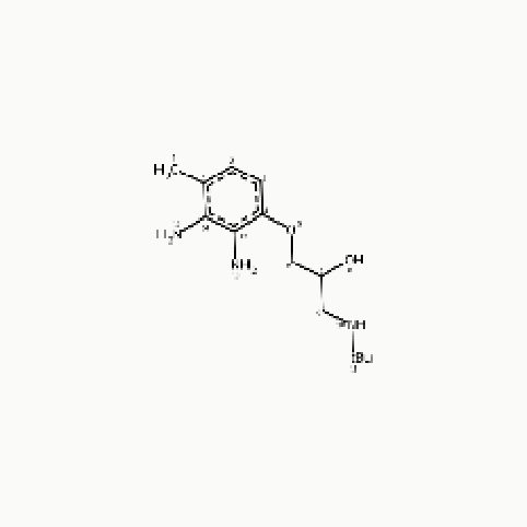 Cc1ccc(OCC(O)CNC(C)(C)C)c(N)c1N